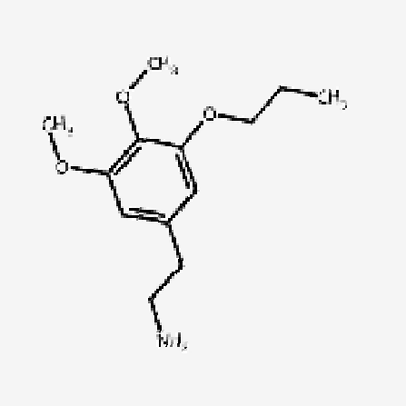 CCCOc1cc(CCN)cc(OC)c1OC